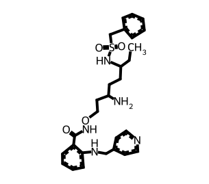 CCC(CCC(N)CCONC(=O)c1ccccc1NCc1ccncc1)NS(=O)(=O)Cc1ccccc1